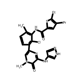 CCc1sc(C(=O)Nc2c(C)ccc(-c3cn(C)c(=O)c(Nc4cn[nH]c4)n3)c2Cl)cc1C(C)C